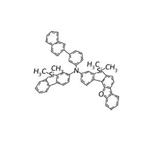 C[Si]1(C)c2ccccc2-c2ccc(N(c3cccc(-c4ccc5ccccc5c4)c3)c3ccc4c(c3)[Si](C)(C)c3ccc5c(oc6ccccc65)c3-4)cc21